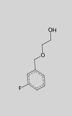 OCCOCc1cccc(F)c1